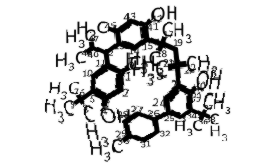 Cc1cc(O)c(C(C)(C)C)cc1C(c1cc(C(C)(C)CC(C)(C)c2cc(C3CCC(C)CC3)cc(C(C)(C)C)c2O)c(O)cc1C)C(C)C